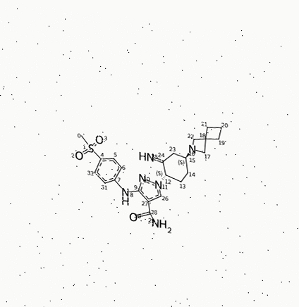 CS(=O)(=O)c1ccc(Nc2nn([C@H]3CC[C@H](N4CC5(CCC5)C4)CC3=N)cc2C(N)=O)cc1